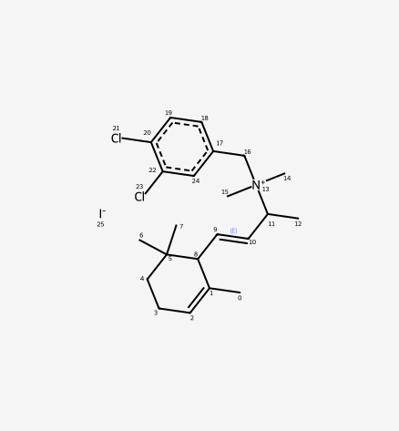 CC1=CCCC(C)(C)C1/C=C/C(C)[N+](C)(C)Cc1ccc(Cl)c(Cl)c1.[I-]